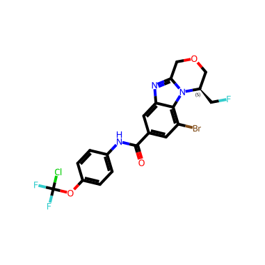 O=C(Nc1ccc(OC(F)(F)Cl)cc1)c1cc(Br)c2c(c1)nc1n2[C@H](CF)COC1